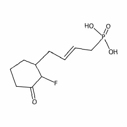 O=C1CCCC(CC=CCP(=O)(O)O)C1F